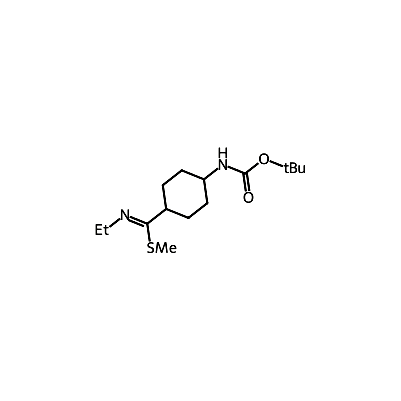 CC/N=C(\SC)C1CCC(NC(=O)OC(C)(C)C)CC1